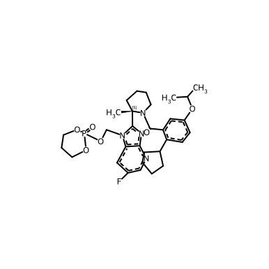 CC(C)Oc1ccc(C2CCCC2)c(C(=O)N2CCCC[C@@]2(C)c2nc3ncc(F)cc3n2COP2(=O)OCCCO2)c1